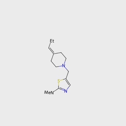 CCC=C1CCN(Cc2cnc(NC)s2)CC1